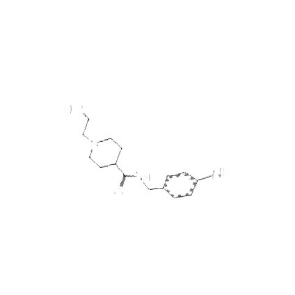 Nc1ccc(CNC(=O)C2CCN(CCO)CC2)cc1